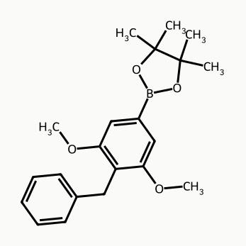 COc1cc(B2OC(C)(C)C(C)(C)O2)cc(OC)c1Cc1ccccc1